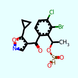 CC(O[SH](=O)=O)c1c(C(=O)c2cnoc2C2CC2)ccc(Cl)c1Br